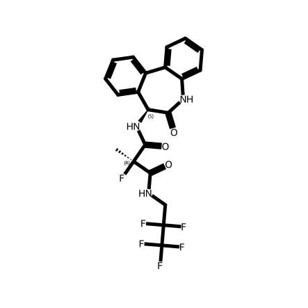 C[C@@](F)(C(=O)NCC(F)(F)C(F)(F)F)C(=O)N[C@@H]1C(=O)Nc2ccccc2-c2ccccc21